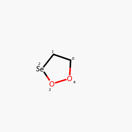 C1C[Se]OO1